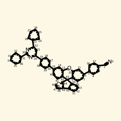 N#Cc1ccc(-c2ccc3c(c2)Oc2cc(-c4ccc(-c5cc(-c6ccccc6)nc(-c6ccccc6)n5)cc4)ccc2C32c3ccccc3-c3ccccc32)cc1